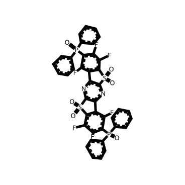 O=P(c1ccccc1)(c1ccccc1)c1c(F)c(F)c2c(c1F)-c1nc3c(nc1S2(=O)=O)-c1c(F)c(P(=O)(c2ccccc2)c2ccccc2)c(F)c(F)c1S3(=O)=O